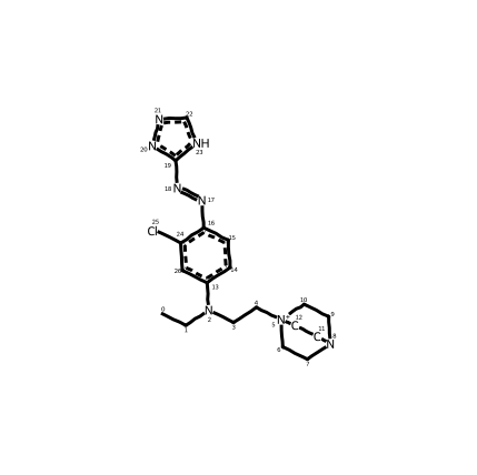 CCN(CC[N+]12CCN(CC1)CC2)c1ccc(/N=N/c2nnc[nH]2)c(Cl)c1